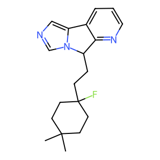 CC1(C)CCC(F)(CCC2c3ncccc3-c3cncn32)CC1